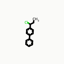 CCC(Cl)c1ccc(-c2ccccc2)cc1